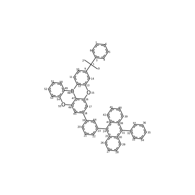 CC(C)(c1ccccc1)c1ccc2c(c1)Oc1cc(-c3cccc(-c4c5ccccc5c(-c5ccccc5)c5ccccc45)c3)cc3c1B2c1ccccc1O3